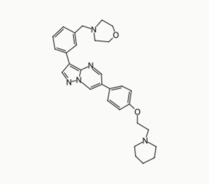 c1cc(CN2CCOCC2)cc(-c2cnn3cc(-c4ccc(OCCN5CCCCC5)cc4)cnc23)c1